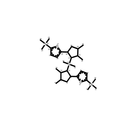 CC1CC(c2ccc([Si](C)(C)C)o2)C([Si](C)(C)C2C(c3ccc(S(C)(C)C)o3)CC(C)C2C)C1C